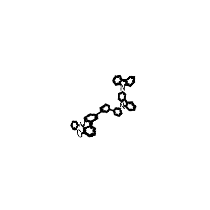 c1cc(-c2cccc(-n3c4ccccc4c4cc(-n5c6ccccc6c6ccccc65)ccc43)c2)cc(-c2ccc3c(c2)c2cccc4c2n3-c2ccccc2O4)c1